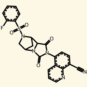 N#Cc1ccc(N2C(=O)C3C4CC(CN4S(=O)(=O)c4ccccc4F)N3C2=O)c2cccnc12